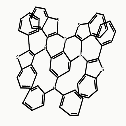 c1ccc(-c2sc3ccccc3c2N2c3cc(N(c4ccccc4)c4ccccc4)cc4c3B(c3sc5ccccc5c32)c2sc3ccccc3c2N4c2c(-c3ccccc3)sc3ccccc23)cc1